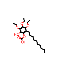 CCCCCCCCCCc1c(OC(=O)O)c(O)c(OCC)c(OCC)c1OCC